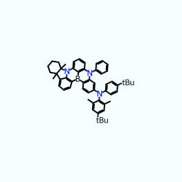 Cc1cc(C(C)(C)C)cc(C)c1N(c1ccc(C(C)(C)C)cc1)c1ccc2c(c1)N(c1ccccc1)c1cccc3c1B2c1cccc2c1N3C1(C)CCCCC21C